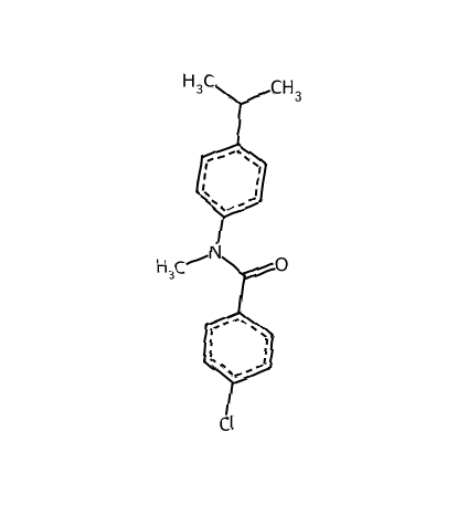 CC(C)c1ccc(N(C)C(=O)c2ccc(Cl)cc2)cc1